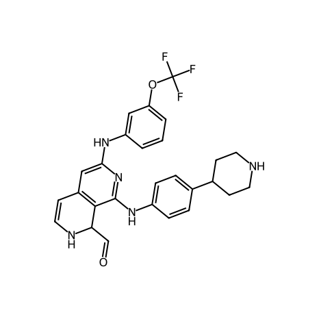 O=CC1NC=Cc2cc(Nc3cccc(OC(F)(F)F)c3)nc(Nc3ccc(C4CCNCC4)cc3)c21